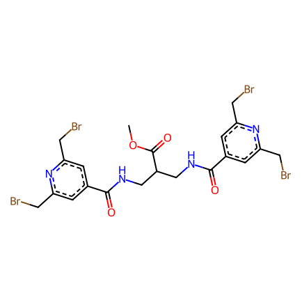 COC(=O)C(CNC(=O)c1cc(CBr)nc(CBr)c1)CNC(=O)c1cc(CBr)nc(CBr)c1